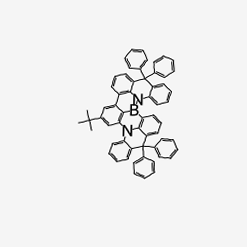 CC(C)(C)c1cc2c3c(c1)N1c4ccccc4C(c4ccccc4)(c4ccccc4)c4cccc(c41)B3N1c3ccccc3C(c3ccccc3)(c3ccccc3)c3cccc-2c31